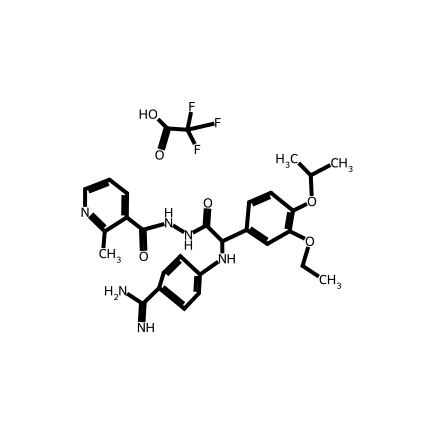 CCOc1cc(C(Nc2ccc(C(=N)N)cc2)C(=O)NNC(=O)c2cccnc2C)ccc1OC(C)C.O=C(O)C(F)(F)F